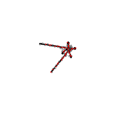 COCCOCCOCCOCCOCCOCCOCCOCCOCC(=O)NCCCC[C@H](NC(=O)[C@H](NC(=O)OCc1ccccc1)[C@@H](NC(=O)OCc1ccccc1)C(=O)N[C@@H](CCCCNC(=O)COCCOCCOCCOCCOCCOCCOCCOCCOC)C(=O)NCCCC(=O)OC(C)(C)C)C(=O)NCCCC(=O)OC(C)(C)C